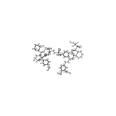 CCC(C)(C)C(=O)C(=O)C1CCCCC1C(=O)OC(CCc1ccc(OC)c(OC)c1)c1cccc(NC(=O)CCC(=O)N[C@@H](Cc2ccccc2)[C@H](O)CN(CC(C)C)S(=O)(=O)c2ccc(OC)cc2)c1